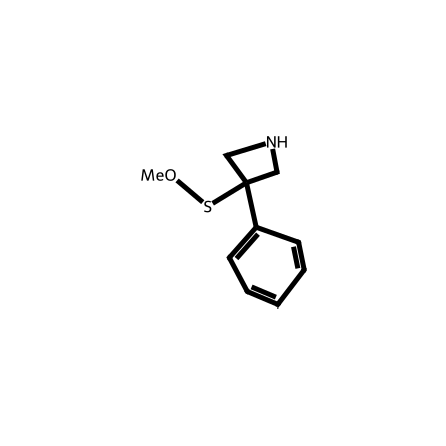 COSC1(c2cc[c]cc2)CNC1